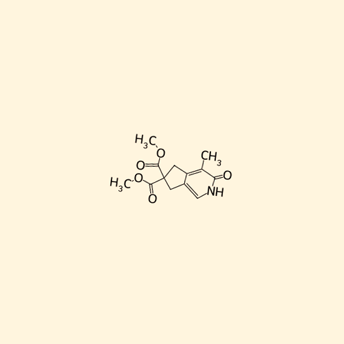 COC(=O)C1(C(=O)OC)Cc2c[nH]c(=O)c(C)c2C1